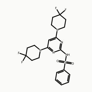 O=S(=O)(Nc1nc(N2CCC(F)(F)CC2)cc(N2CCC(F)(F)CC2)n1)c1ccccc1